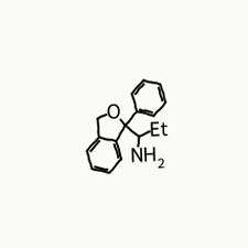 CCC(N)C1(c2ccccc2)OCc2ccccc21